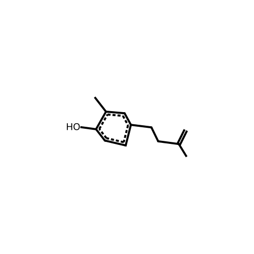 C=C(C)CCc1ccc(O)c(C)c1